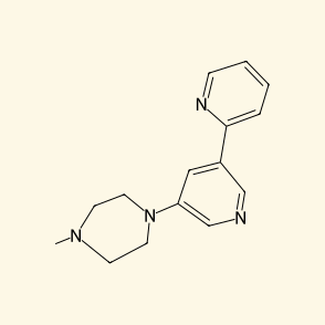 CN1CCN(c2cncc(-c3ccccn3)c2)CC1